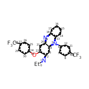 CCN=c1cc2n(-c3ccc(C(F)(F)F)cc3)c3ccccc3nc-2cc1Oc1ccc(C(F)(F)F)cc1